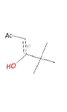 CC(=O)/C=C(\O)C(C)(C)C